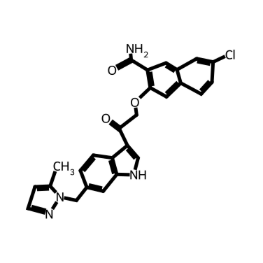 Cc1ccnn1Cc1ccc2c(C(=O)COc3cc4ccc(Cl)cc4cc3C(N)=O)c[nH]c2c1